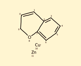 C1=Cc2ccccc2OC1.[Cu].[Zn]